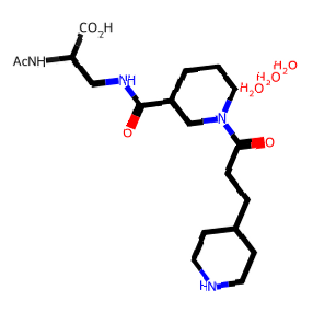 CC(=O)NC(CNC(=O)C1CCCN(C(=O)CCC2CCNCC2)C1)C(=O)O.O.O.O